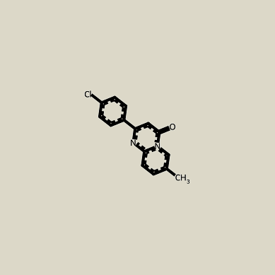 Cc1ccc2nc(-c3ccc(Cl)cc3)cc(=O)n2c1